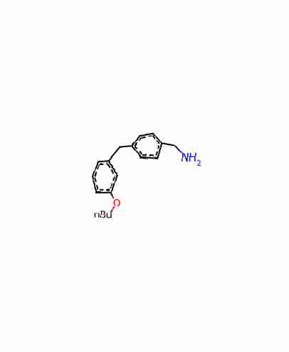 CCCCOc1cccc(Cc2ccc(CN)cc2)c1